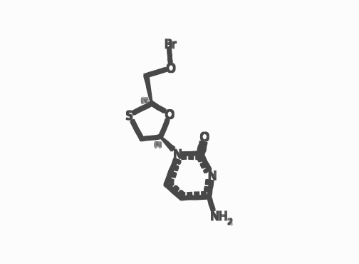 Nc1ccn([C@H]2CS[C@@H](COBr)O2)c(=O)n1